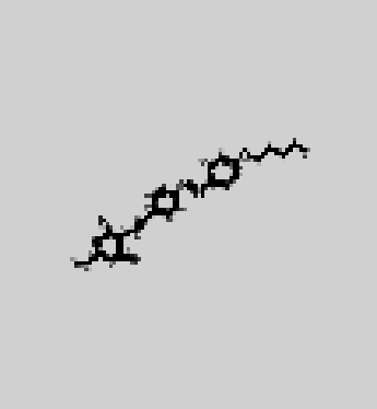 CCCCCOc1ccc(N=Nc2ccc(C#Cc3c(F)cc(CC)cc3F)cc2)cc1